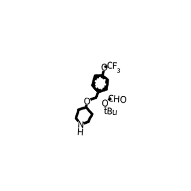 CC(C)(C)OC=O.FC(F)(F)Oc1ccc(COC2CCNCC2)cc1